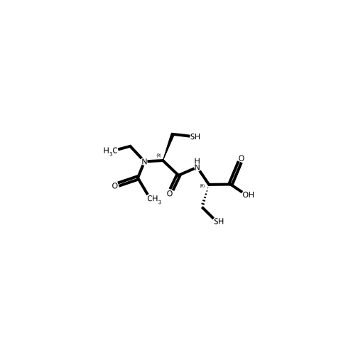 CCN(C(C)=O)[C@@H](CS)C(=O)N[C@@H](CS)C(=O)O